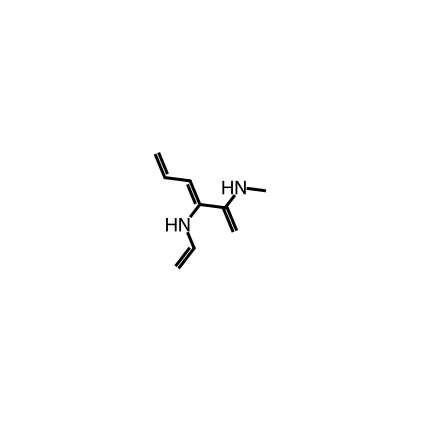 C=C/C=C(\NC=C)C(=C)NC